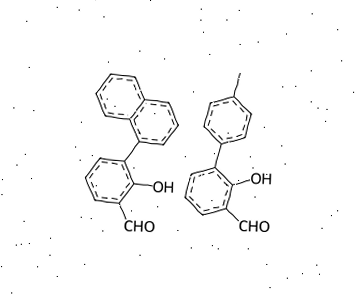 Cc1ccc(-c2cccc(C=O)c2O)cc1.O=Cc1cccc(-c2cccc3ccccc23)c1O